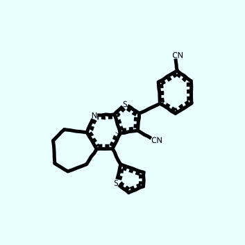 N#Cc1cccc(-c2sc3nc4c(c(-c5cccs5)c3c2C#N)CCCCC4)c1